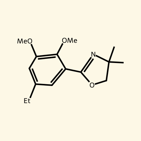 CCc1cc(OC)c(OC)c(C2=NC(C)(C)CO2)c1